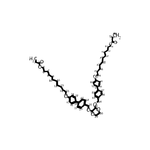 C=CC(=O)OCCCCCCCCCCCOc1ccc(-c2ccc(COC3OCCOC3OCc3ccc(-c4ccc(OCCCCCCCCCCCOC(=O)C=C)cc4)cc3)cc2)cc1